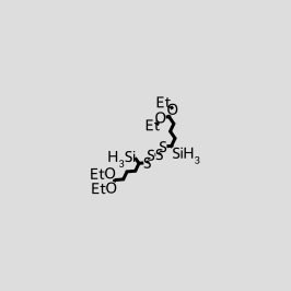 CCOC(CCCC([SiH3])SSSSC([SiH3])CCCC(OCC)OCC)OCC